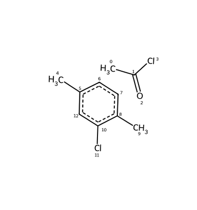 CC(=O)Cl.Cc1ccc(C)c(Cl)c1